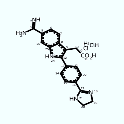 Cl.Cl.N=C(N)c1ccc2c(CC(=O)O)c(-c3ccc(C4=NCCN4)cc3)[nH]c2c1